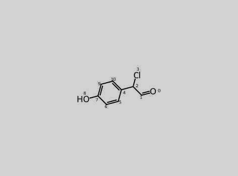 O=CC(Cl)c1ccc(O)cc1